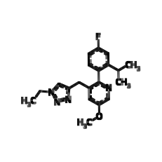 CCn1cc(Cc2cc(OC)cnc2-c2ccc(F)cc2C(C)C)nn1